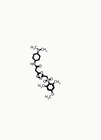 COc1cc(C)c(S(=O)(=O)Cc2nnc(CC(=O)NC3CCC(N(C)C)CC3)o2)c(C)c1